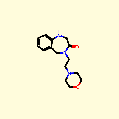 O=C1CNc2ccccc2CN1CCN1CCOCC1